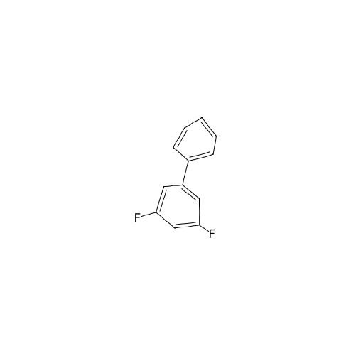 Fc1cc(F)cc(-c2c[c]ccc2)c1